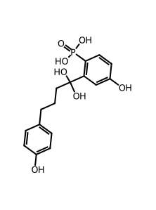 O=P(O)(O)c1ccc(O)cc1C(O)(O)CCCc1ccc(O)cc1